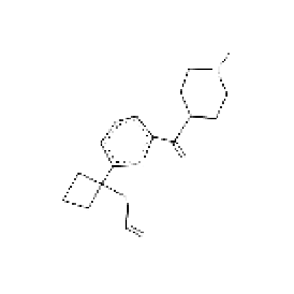 CN1CCC(C(=O)c2cccc(C3(NC=O)CCC3)n2)CC1